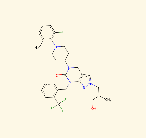 Cc1cccc(F)c1N1CCC(N2Cc3cn(CC(C)CO)nc3N(Cc3ccccc3C(F)(F)F)C2=O)CC1